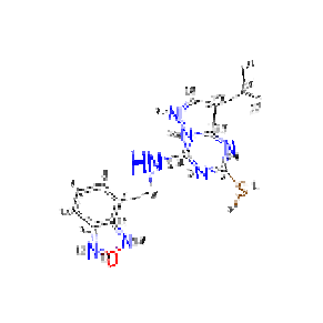 CSc1nc(NCc2cccc3nonc23)n2ncc(C(C)C)c2n1